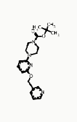 CC(C)(C)OC(=O)N1CCN(c2cccc(OCc3cccnc3)n2)CC1